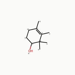 CC1=C(C)C(C)(C)C(O)CC1